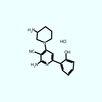 Cl.N#Cc1c(N2CCCC(N)C2)cc(-c2ccccc2O)nc1N